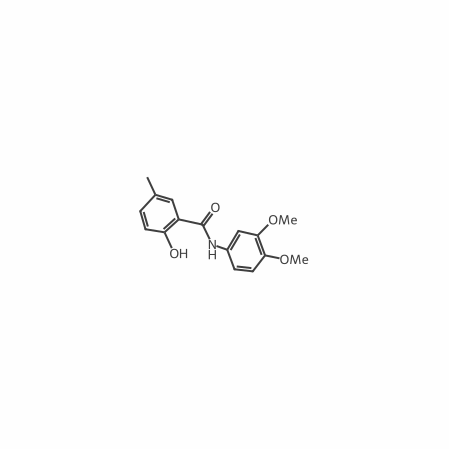 COc1ccc(NC(=O)c2cc(C)ccc2O)cc1OC